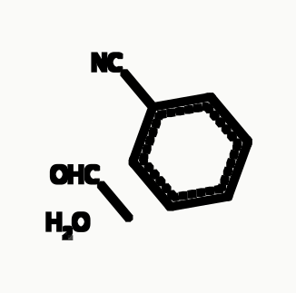 CC=O.N#Cc1ccccc1.O